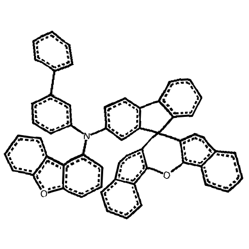 c1ccc(-c2cccc(N(c3ccc4c(c3)C3(c5ccccc5-4)c4ccc5ccccc5c4Oc4c3ccc3ccccc43)c3cccc4oc5ccccc5c34)c2)cc1